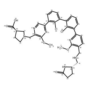 COc1nc(-c2cccc(-c3cccc(-c4cnc(CN5CC[C@@H](C(=O)O)C5)c(OC)n4)c3Cl)c2Cl)ccc1CNC[C@@H]1CCC(=O)N1